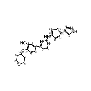 N#Cc1cc(-c2ccnc(Nc3ccc(-c4cn[nH]c4)nc3)n2)ccc1OC1CCOCC1